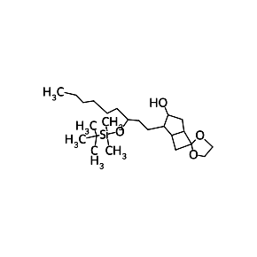 CCCCCCC(CCC1C(O)CC2C1CC21OCCO1)O[Si](C)(C)C(C)(C)C